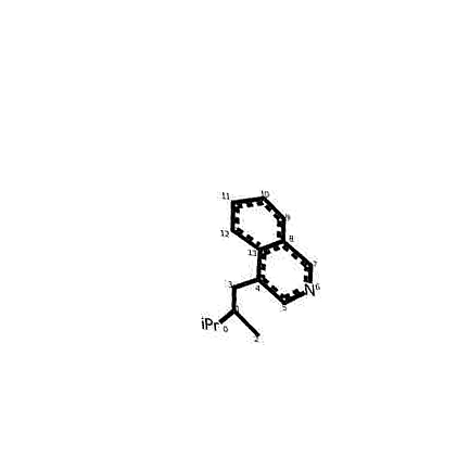 CC(C)C(C)Cc1cncc2ccccc12